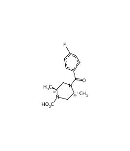 C[C@@H]1CN(C(=O)O)[C@@H](C)CN1C(=O)c1ccc(F)cc1